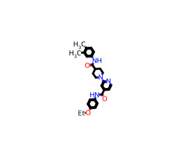 CCOc1ccc(NC(=O)c2ccnc(N3CCC(C(=O)Nc4ccc(C)c(C)c4)CC3)c2)cc1